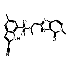 Cc1cc(S(=O)(=O)N(C)Cc2nc3ccn(C)c(=O)c3[nH]2)c2[nH]c(C#N)cc2c1